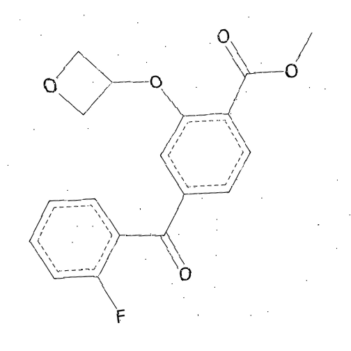 COC(=O)c1ccc(C(=O)c2ccccc2F)cc1OC1COC1